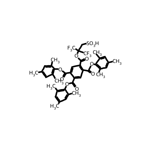 Cc1cc(C)c(OC(=O)c2cc(C(=O)Oc3c(C)cc(C)cc3C)c(C(=O)OC(CS(=O)(=O)O)(C(F)(F)F)C(F)(F)F)cc2C(=O)Oc2c(C)cc(C)cc2C)c(C)c1